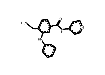 NCc1ccc(C(=O)Nc2ccncc2)cc1Nc1ccccc1